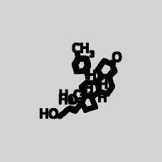 Cc1ccc([C@H]2C[C@@]3(C)[C@@H](CC[C@@]3(O)/C=C/CO)[C@@H]3CCC4=CC(=O)CC[C@@H]4[C@H]32)cc1